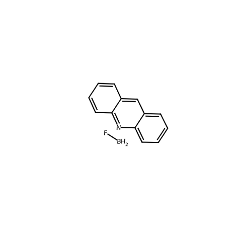 BF.c1ccc2nc3ccccc3cc2c1